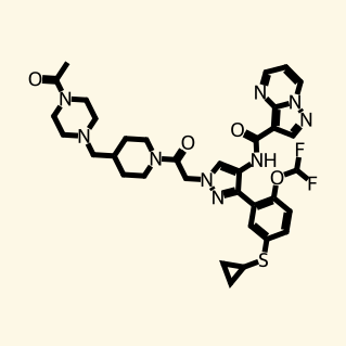 CC(=O)N1CCN(CC2CCN(C(=O)Cn3cc(NC(=O)c4cnn5cccnc45)c(-c4cc(SC5CC5)ccc4OC(F)F)n3)CC2)CC1